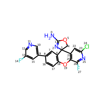 NC1=NC2(CO1)c1cc(-c3cncc(F)c3)ccc1Oc1c2cc(Cl)nc1F